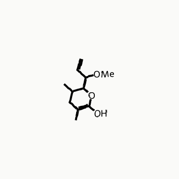 C=CC(OC)C1OC(O)=C(C)CC1C